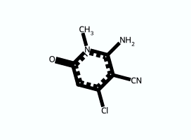 Cn1c(N)c(C#N)c(Cl)cc1=O